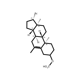 CC(=O)[C@H]1CC[C@H]2[C@@H]3CC(C)=C4CC(OS(=O)(=O)O)CC[C@]4(C)[C@H]3CC[C@]12C